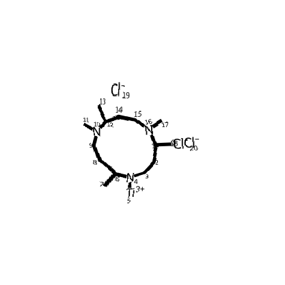 CC1CC[N]([Ti+3])C(C)CCN(C)C(C)CCN1C.[Cl-].[Cl-].[Cl-]